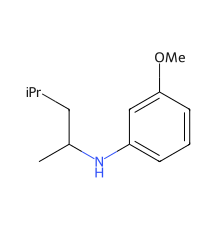 COc1cccc(NC(C)CC(C)C)c1